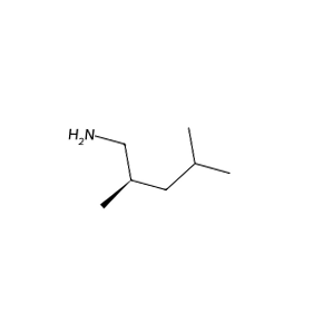 CC(C)C[C@@H](C)CN